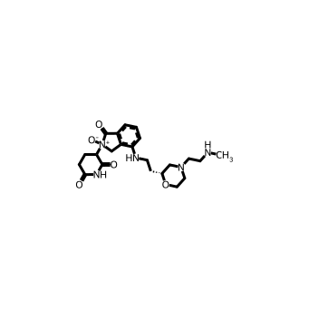 CNCCN1CCO[C@H](CCNc2cccc3c2C[N+]([O-])(C2CCC(=O)NC2=O)C3=O)C1